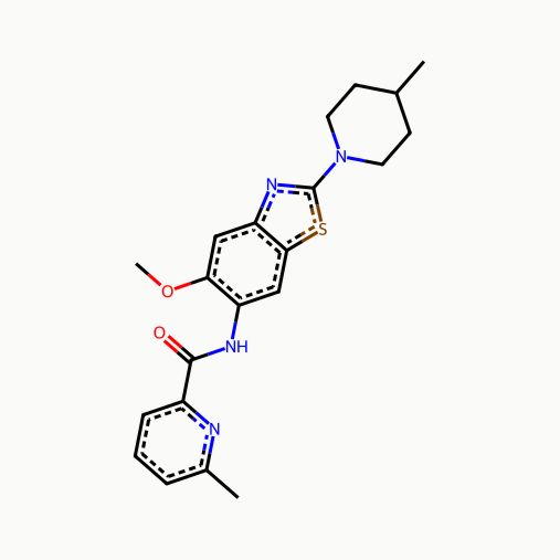 COc1cc2nc(N3CCC(C)CC3)sc2cc1NC(=O)c1cccc(C)n1